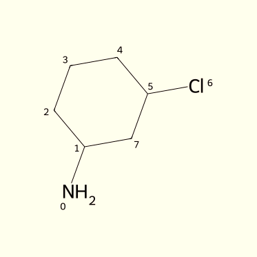 NC1CCCC(Cl)C1